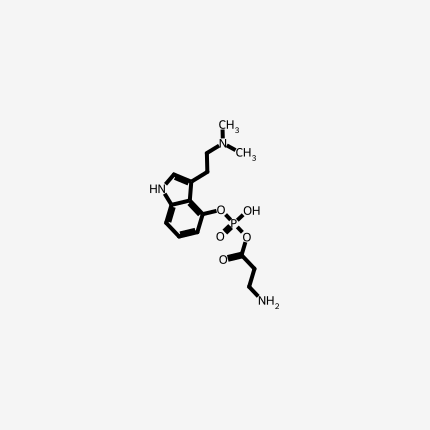 CN(C)CCc1c[nH]c2cccc(OP(=O)(O)OC(=O)CCN)c12